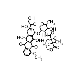 COc1cccc2c1C(=O)c1c(O)c3c(c(O)c1C2=O)C[C@@](O)(C(=O)CO)C[C@@H]3OC1COC(C)C(O)C1NC(=O)C(C)(C)C(C)(C)C(=O)O